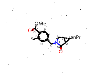 CCCC1C2CN(Cc3ccc(C(=O)OC)c(C)c3)C(=O)C12